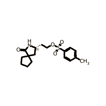 Cc1ccc(S(=O)(=O)OCC[C@@H]2CC3(CCCC3)C(=O)N2)cc1